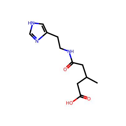 CC(CC(=O)O)CC(=O)NCCc1c[nH]cn1